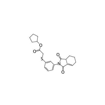 O=C(CSc1cccc(N2C(=O)C3=CCCCC3C2=O)c1)OC1CCCC1